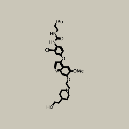 COc1cc2c(Oc3ccc(NC(=O)NCCC(C)(C)C)c(Cl)c3)ccnc2cc1OCCN1CCC(CCO)CC1